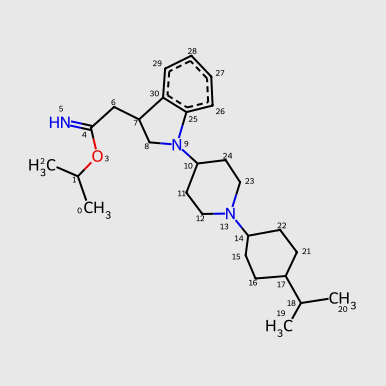 CC(C)OC(=N)CC1CN(C2CCN(C3CCC(C(C)C)CC3)CC2)c2ccccc21